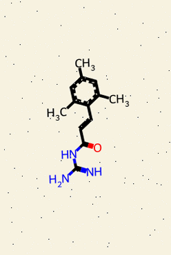 Cc1cc(C)c(C=CC(=O)NC(=N)N)c(C)c1